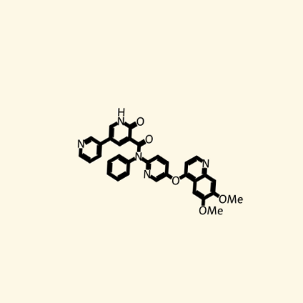 COc1cc2nccc(Oc3ccc(N(C(=O)c4cc(-c5cccnc5)c[nH]c4=O)c4ccccc4)nc3)c2cc1OC